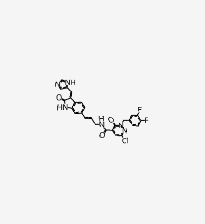 O=C1Nc2cc(/C=C/CNC(=O)c3cc(Cl)nn(Cc4ccc(F)c(F)c4)c3=O)ccc2/C1=C/c1cnc[nH]1